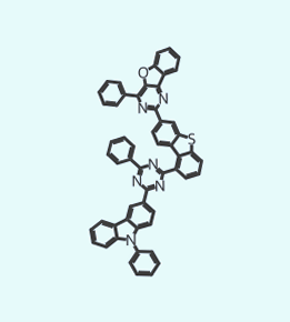 c1ccc(-c2nc(-c3ccc4c(c3)c3ccccc3n4-c3ccccc3)nc(-c3cccc4sc5cc(-c6nc(-c7ccccc7)c7oc8ccccc8c7n6)ccc5c34)n2)cc1